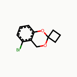 Brc1cccc2c1COC1(CCC1)O2